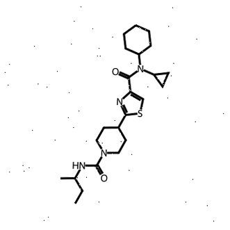 CCC(C)NC(=O)N1CCC(c2nc(C(=O)N(C3CCCCC3)C3CC3)cs2)CC1